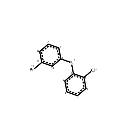 Clc1ccccc1Sc1cccc(Br)c1